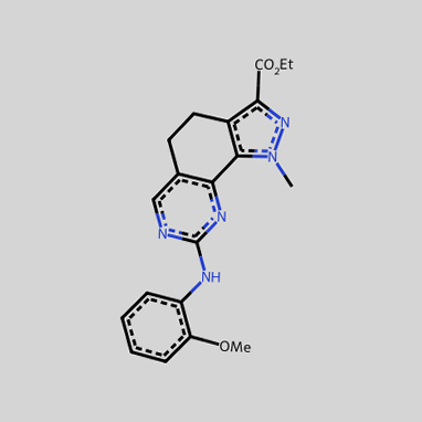 CCOC(=O)c1nn(C)c2c1CCc1cnc(Nc3ccccc3OC)nc1-2